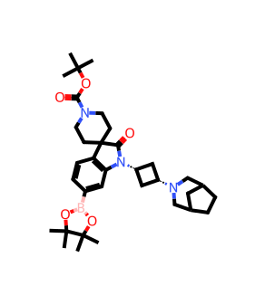 CC(C)(C)OC(=O)N1CCC2(CC1)C(=O)N([C@H]1C[C@@H](N3CC4CCC(C4)C3)C1)c1cc(B3OC(C)(C)C(C)(C)O3)ccc12